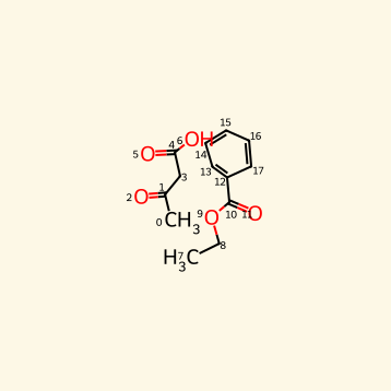 CC(=O)CC(=O)O.CCOC(=O)c1ccccc1